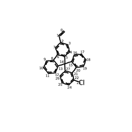 C=Cc1ccc2c(c1)-c1ccccc1C21c2ccccc2-c2c(Cl)cccc21